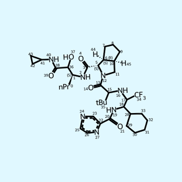 CCC[C@H](NC(=O)[C@@H]1[C@H]2CCC[C@H]2CN1C(=O)C(NC(C(NC(=O)c1cnccn1)C1CCCCC1)C(F)(F)F)C(C)(C)C)C(O)C(=O)NC1CC1